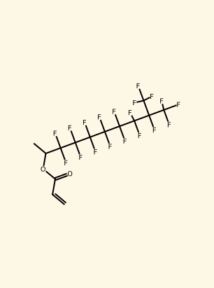 C=CC(=O)OC(C)C(F)(F)C(F)(F)C(F)(F)C(F)(F)C(F)(F)C(F)(F)C(F)(C(F)(F)F)C(F)(F)F